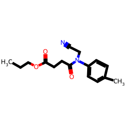 CCCOC(=O)CCC(=O)N(CC#N)c1ccc(C)cc1